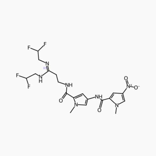 Cn1cc(NC(=O)c2cc([N+](=O)[O-])cn2C)cc1C(=O)NCC/C(=N/CC(F)F)NCC(F)F